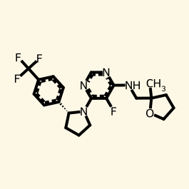 CC1(CNc2ncnc(N3CCC[C@@H]3c3ccc(C(F)(F)F)cc3)c2F)CCCO1